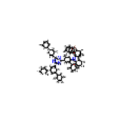 c1ccc(-c2ccc(-c3nc(-c4cc(-c5ccccc5)cc(-c5ccccc5)c4)nc(-c4cc(-c5ccccc5)c(-n5c6ccccc6c6ccc7sc8ccccc8c7c65)c(-c5ccccc5)c4)n3)cc2)cc1